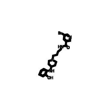 O=C(NCCCCN1CCC(Nc2ccccc2O)CC1)c1cncc(Br)c1